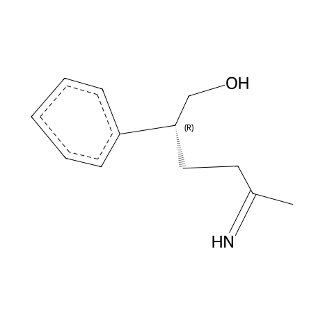 CC(=N)CC[C@@H](CO)c1ccccc1